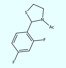 CC(=O)N1CCSC1c1ccc(F)cc1F